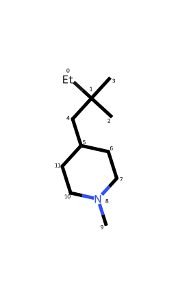 CCC(C)(C)CC1CCN(C)CC1